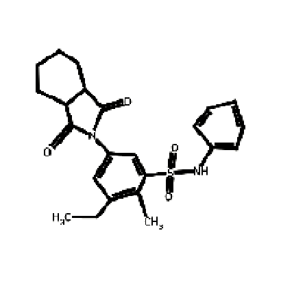 CCc1cc(N2C(=O)C3CCCCC3C2=O)cc(S(=O)(=O)Nc2ccccc2)c1C